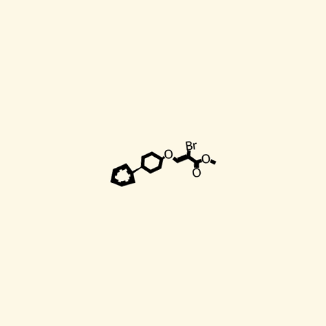 COC(=O)C(Br)=CO[C@H]1CC[C@@H](c2ccccc2)CC1